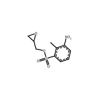 Cc1c([N+](=O)[O-])cccc1S(=O)(=O)OCC1CO1